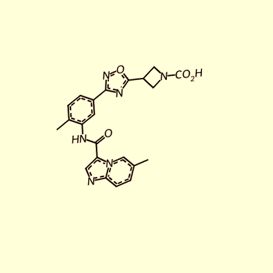 Cc1ccc2ncc(C(=O)Nc3cc(-c4noc(C5CN(C(=O)O)C5)n4)ccc3C)n2c1